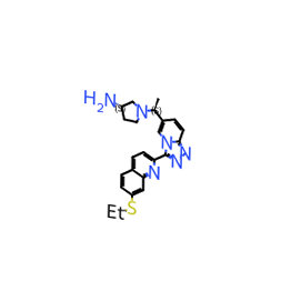 CCSc1ccc2ccc(-c3nnc4ccc([C@H](C)N5CC[C@H](N)C5)cn34)nc2c1